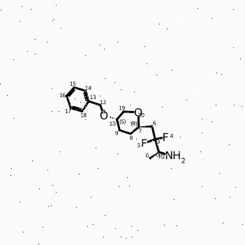 C[C@H](N)C(F)(F)C[C@H]1CC[C@H](OCc2ccccc2)CO1